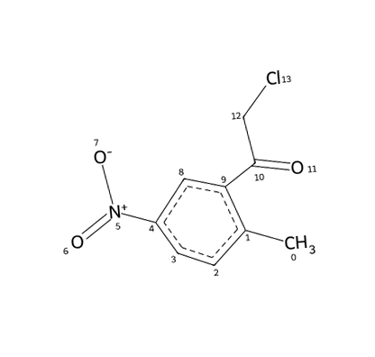 Cc1ccc([N+](=O)[O-])cc1C(=O)CCl